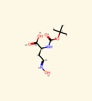 CC(C)(C)OC(=O)N[C@@H](C/C=N/O)C(=O)O